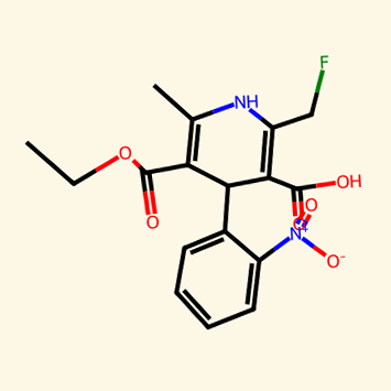 CCOC(=O)C1=C(C)NC(CF)=C(C(=O)O)C1c1ccccc1[N+](=O)[O-]